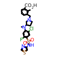 Cc1c(CN2CCC(N(C)c3cc(F)c(S(=O)(=O)Nc4cscn4)cc3Cl)C2)cccc1C(=O)O